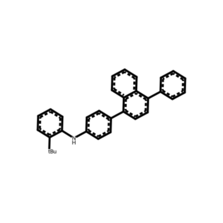 CC(C)(C)c1ccccc1Nc1ccc(-c2ccc(-c3ccccc3)c3ccccc23)cc1